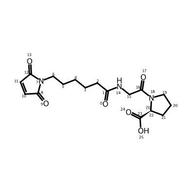 O=C(CCCCCN1C(=O)C=CC1=O)NCC(=O)N1CCC[C@H]1C(=O)O